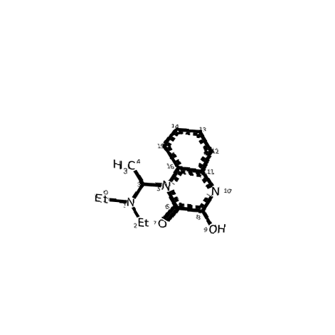 CCN(CC)C(C)n1c(=O)c(O)nc2ccccc21